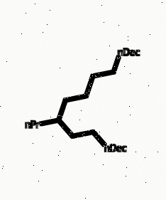 [CH2]CCC(CCCCCCCCCCCC)CCCCCCCCCCCCCC